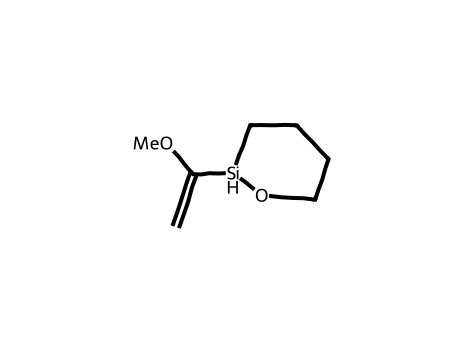 C=C(OC)[SiH]1CCCCO1